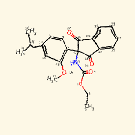 CCOC(=O)NC1(c2ccc(C(C)C)cc2OC)C(=O)c2ccccc2C1=O